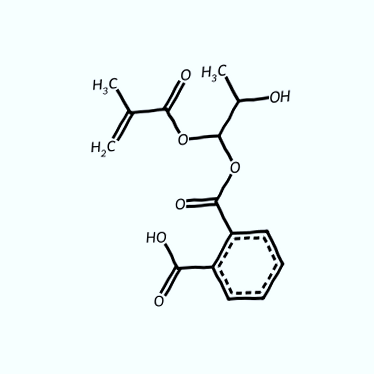 C=C(C)C(=O)OC(OC(=O)c1ccccc1C(=O)O)C(C)O